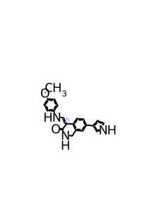 COc1ccc(N/C=C2\C(=O)NCc3cc(-c4cc[nH]c4)ccc32)cc1